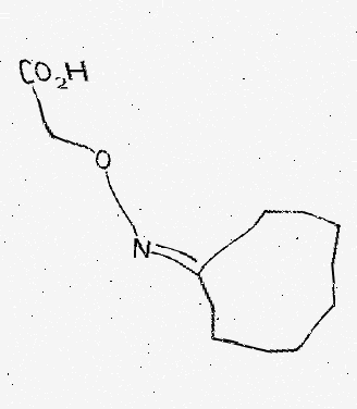 O=C(O)CON=C1CCCCC1